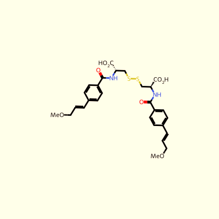 COC/C=C/c1ccc(C(=O)N[C@@H](CSSC[C@H](NC(=O)c2ccc(/C=C/COC)cc2)C(=O)O)C(=O)O)cc1